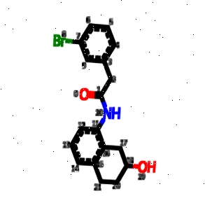 O=C(Cc1cccc(Br)c1)Nc1cccc2c1CC(O)CC2